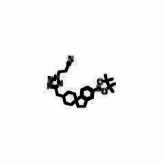 CC1(C)OB(c2ccc3c(c2)CCC32CCC(Cc3nnn(CCC#N)n3)CC2)OC1(C)C